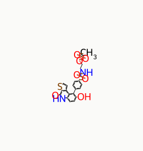 CS(=O)(=O)OCCNS(=O)(=O)c1ccc(-c2c(O)ccc3[nH]c(=O)c4sccc4c23)cc1